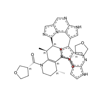 C[C@@H]1CCN(C(=O)[C@@H]2CCOC2)C[C@@H]1c1nc(-c2c[nH]c3ncc4cnc([C@H]5CN(C(=O)[C@H]6CCOC6)CC[C@H]5C)n4c23)c2cnc3[nH]ccc3n12